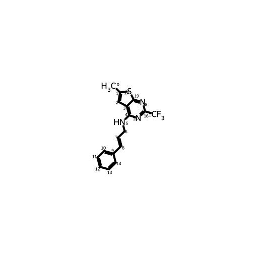 Cc1cc2c(NCC=Cc3ccccc3)nc(C(F)(F)F)nc2s1